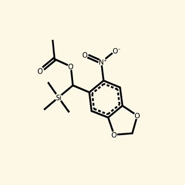 CC(=O)OC(c1cc2c(cc1[N+](=O)[O-])OCO2)[Si](C)(C)C